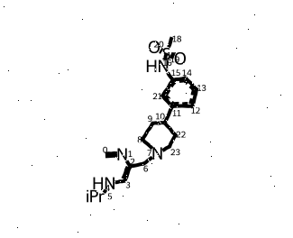 C=N/C(=C\NC(C)C)CN1CCC(c2cccc(NS(C)(=O)=O)c2)CC1